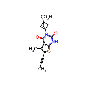 CC#Cc1sc2[nH]c(=O)n(C34CC(C(=O)O)(C3)C4)c(=O)c2c1C